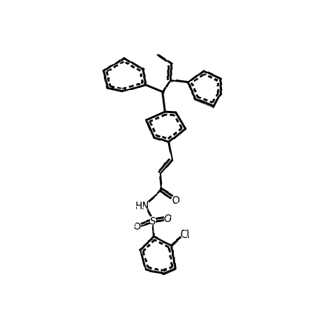 CC=C(c1ccccc1)C(c1ccccc1)c1ccc(C=CC(=O)NS(=O)(=O)c2ccccc2Cl)cc1